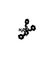 CC(C)CC(SCc1ccccc1)(SCc1ccccc1)C(C)OCc1ccccc1